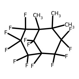 CC1(C)C(F)(F)C(F)(F)C2(F)C(F)(F)C(F)(F)C(F)(F)C1(C)C2(F)F